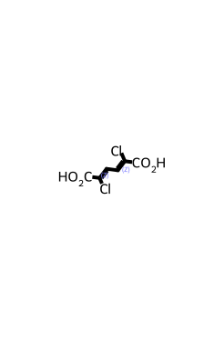 O=C(O)/C(Cl)=C/C=C(\Cl)C(=O)O